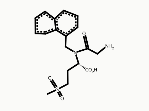 CS(=O)(=O)CC[C@@H](C(=O)O)N(Cc1cccc2ccccc12)C(=O)CN